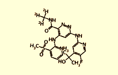 [2H]C([2H])([2H])NC(=O)c1nnc(Nc2cc(C(C)(C)O)c(F)cn2)cc1Nc1ncccc1S(C)(=O)=O